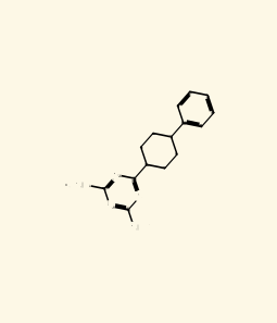 CC(=O)Nc1nc(NC(C)=O)nc(C2CCC(c3ccccc3)CC2)n1